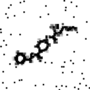 CSCC[C@H](N)C(=O)OC1CCN(C(=O)OCc2ccccc2)CC1